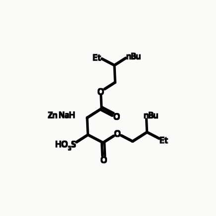 CCCCC(CC)COC(=O)CC(C(=O)OCC(CC)CCCC)S(=O)(=O)O.[NaH].[Zn]